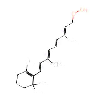 CC1=C(/C=C/C(C)=C/C=C/C(C)=C/COO)C(C)(C)CCC1